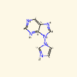 c1cn(-n2cnc3cncnc32)cn1